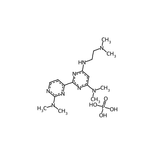 CN(C)CCNc1cc(N(C)C)nc(-c2ccnc(N(C)C)n2)n1.O=P(O)(O)O